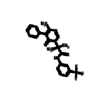 Cc1ncn(C(C)(C)C(=O)Nc2cccc(C(F)(F)F)c2)c(=O)c1-c1ccccc1